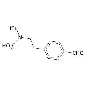 CC(C)(C)N(CCc1ccc(C=O)cc1)C(=O)O